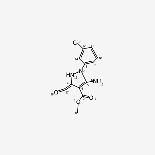 COC(=O)C1=C(N)N(c2cccc(Cl)c2)NC1=C=O